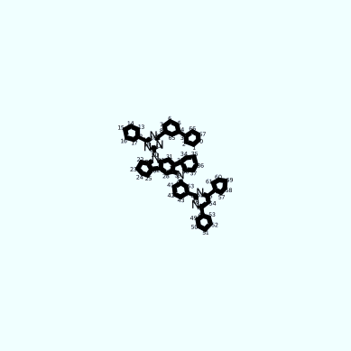 c1ccc(-c2cccc(-c3nc(-c4ccccc4)nc(-n4c5ccccc5c5cc6c(cc54)c4ccccc4n6-c4cccc(-c5nc(-c6ccccc6)cc(-c6ccccc6)n5)c4)n3)c2)cc1